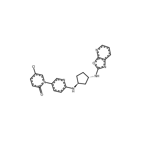 O=c1ccc(Cl)cn1-c1ccc(N[C@H]2CC[C@H](Nc3nc4cccnc4o3)C2)nc1